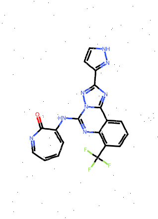 O=c1nccccc1Nc1nc2c(C(F)(F)F)cccc2c2nc(-c3cc[nH]n3)nn12